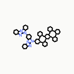 c1ccc2c(c1)nc1n(-c3ccc4c(c3)n3c5ccccc5nc3n4-c3ccc4c5ccccc5c5cc6c7ccccc7c7ccccc7c7ccccc7c6cc5c5ccccc5c4c3)c3ccccc3n21